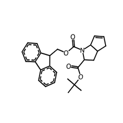 CC(C)(C)OC(=O)C1CC2CC=CC2N1C(=O)OCC1c2ccccc2-c2ccccc21